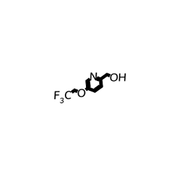 OCc1ccc(OCC(F)(F)F)cn1